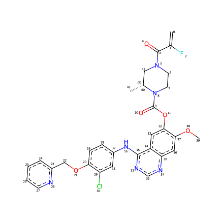 C=C(F)C(=O)N1CCN(C(=O)Oc2cc3c(Nc4ccc(OCc5ccccn5)c(Cl)c4)ncnc3cc2OC)[C@H](C)C1